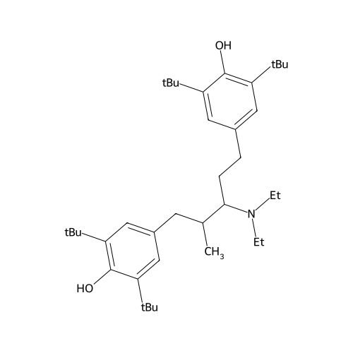 CCN(CC)C(CCc1cc(C(C)(C)C)c(O)c(C(C)(C)C)c1)C(C)Cc1cc(C(C)(C)C)c(O)c(C(C)(C)C)c1